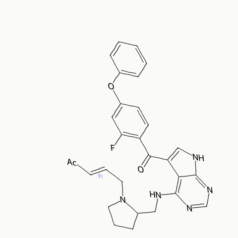 CC(=O)/C=C/CN1CCCC1CNc1ncnc2[nH]cc(C(=O)c3ccc(Oc4ccccc4)cc3F)c12